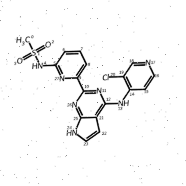 CS(=O)(=O)Nc1cccc(-c2nc(Nc3ccncc3Cl)c3cc[nH]c3n2)n1